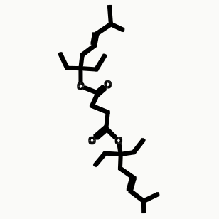 CCC(CC)(CC=CC(C)C)OC(=O)CCC(=O)OC(CC)(CC)CC=CC(C)C